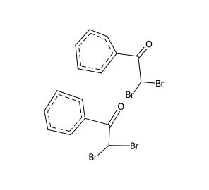 O=C(c1ccccc1)C(Br)Br.O=C(c1ccccc1)C(Br)Br